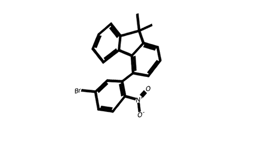 CC1(C)c2ccccc2-c2c(-c3cc(Br)ccc3[N+](=O)[O-])cccc21